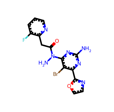 Nc1nc(-c2ncco2)c(Br)c(N(N)C(=O)Cc2ncccc2F)n1